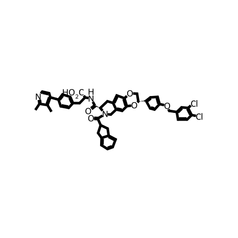 Cc1nccc(-c2ccc(CC(NC(=O)[C@@H]3Cc4cc5c(cc4CN3C(=O)C3Cc4ccccc4C3)O[C@@H](c3ccc(OCc4ccc(Cl)c(Cl)c4)cc3)CO5)C(=O)O)cc2)c1C